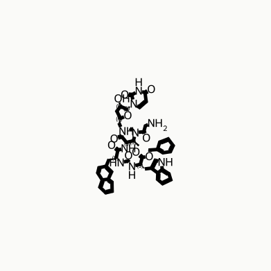 C[C@@H]([C@H](NC(=O)[C@H](Cc1ccc2ccccc2c1)NC(=O)N[C@@H](Cc1c[nH]c2ccccc12)C(=O)OCc1ccccc1)C(=O)NC[C@H]1C[C@@H](O)[C@H](n2ccc(=O)[nH]c2=O)O1)N(C)C(=O)CN